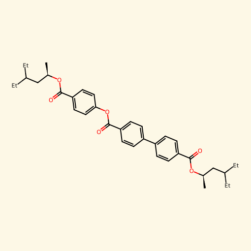 CCC(CC)C[C@@H](C)OC(=O)c1ccc(OC(=O)c2ccc(-c3ccc(C(=O)O[C@H](C)CC(CC)CC)cc3)cc2)cc1